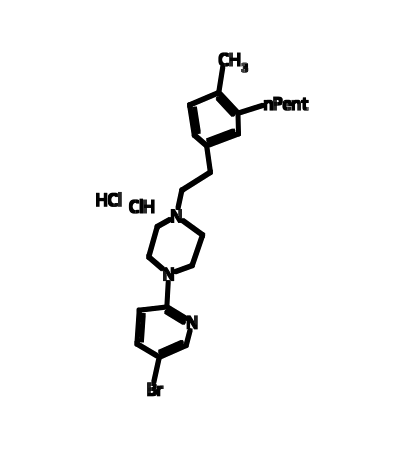 CCCCCc1cc(CCN2CCN(c3ccc(Br)cn3)CC2)ccc1C.Cl.Cl